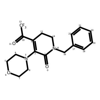 O=C1C(N2CCOCC2)=C(C(=O)C(F)(F)F)CCN1Cc1ccccc1